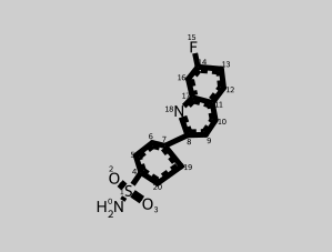 NS(=O)(=O)c1ccc(-c2ccc3ccc(F)cc3n2)cc1